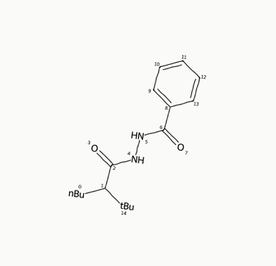 CCCCC(C(=O)NNC(=O)c1ccccc1)C(C)(C)C